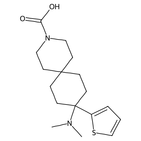 CN(C)C1(c2cccs2)CCC2(CCN(C(=O)O)CC2)CC1